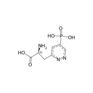 N[C@@H](Cc1cc(P(=O)(O)O)cnn1)C(=O)O